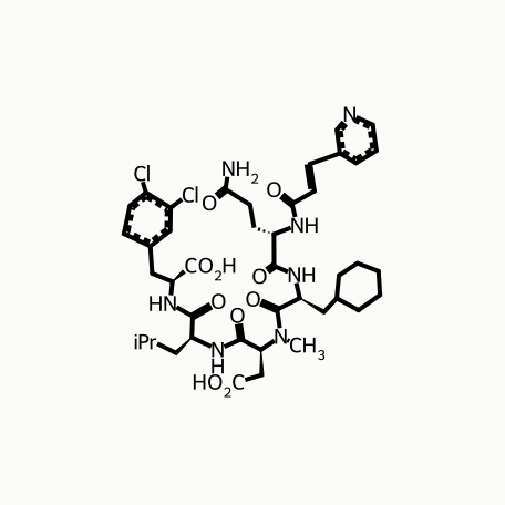 CC(C)C[C@H](NC(=O)[C@H](CC(=O)O)N(C)C(=O)[C@H](CC1CCCCC1)NC(=O)[C@H](CCC(N)=O)NC(=O)/C=C/c1cccnc1)C(=O)N[C@@H](Cc1ccc(Cl)c(Cl)c1)C(=O)O